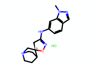 Cl.Cn1ncc2ccc(NC3=NO[C@@]4(C3)CN3CCC4CC3)cc21